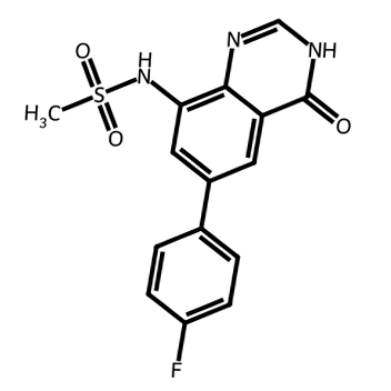 CS(=O)(=O)Nc1cc(-c2ccc(F)cc2)cc2c(=O)[nH]cnc12